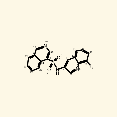 O=S(=O)(Nc1cnc2c(I)cccc2c1)c1cncc2ccccc12